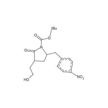 CC(C)(C)OC(=O)N1C(=O)C(CCO)CC1Cc1ccc([N+](=O)[O-])cc1